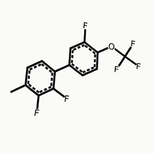 Cc1ccc(-c2ccc(OC(F)(F)F)c(F)c2)c(F)c1F